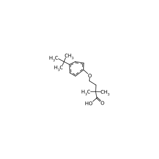 CC(C)(CCOc1ccc(C(C)(C)C)cc1)C(=O)O